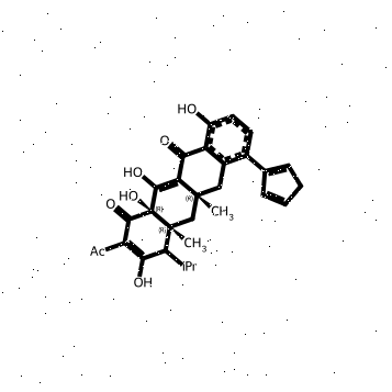 CC(=O)C1=C(O)C(C(C)C)[C@@]2(C)C[C@@]3(C)Cc4c(C5=CCC=C5)ccc(O)c4C(=O)C3=C(O)[C@@]2(O)C1=O